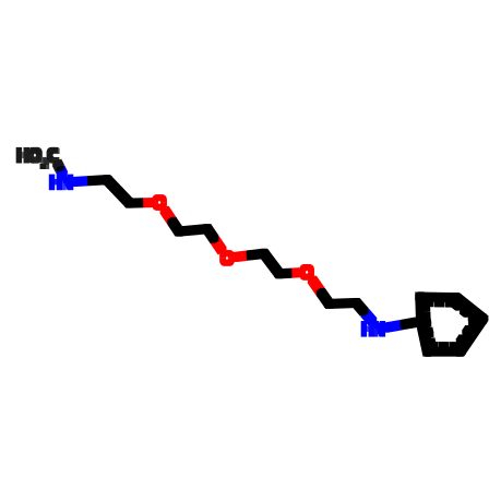 O=C(O)NCCOCCOCCOCCNc1ccccc1